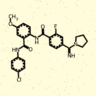 COc1ccc(NC(=O)c2ccc(C(=N)N3CCCC3)cc2F)c(C(=O)Nc2ccc(Cl)cc2)c1